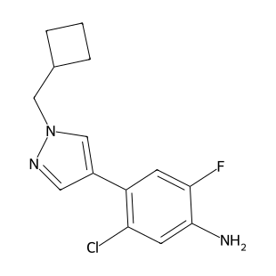 Nc1cc(Cl)c(-c2cnn(CC3CCC3)c2)cc1F